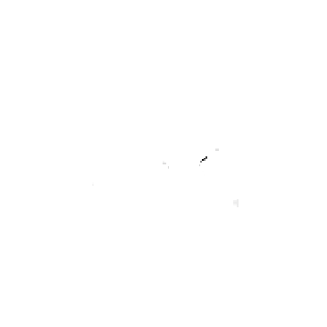 OC[C@H](O)N1CC(O)C(O)C1